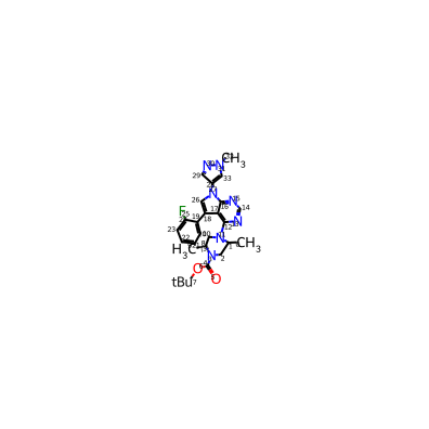 CC1CN(C(=O)OC(C)(C)C)[C@@H](C)CN1c1ncnc2c1c(-c1ccccc1F)cn2-c1cnn(C)c1